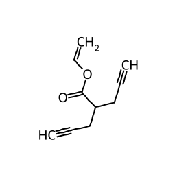 C#CCC(CC#C)C(=O)OC=C